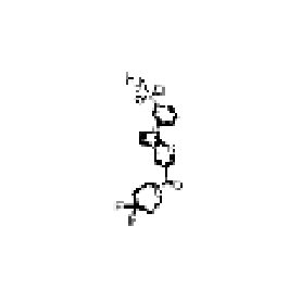 NS(=O)(=O)c1cccc(-n2ccc3cc(C(=O)N4CCC(F)(F)CC4)cnc32)c1